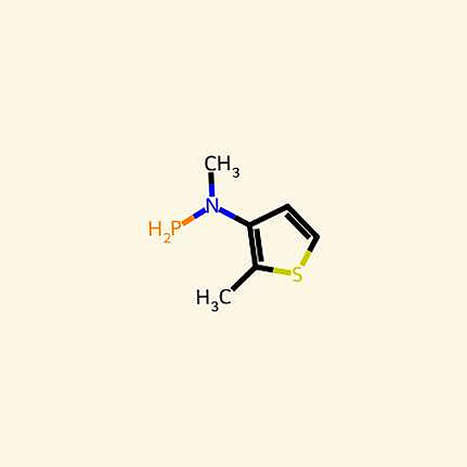 Cc1sccc1N(C)P